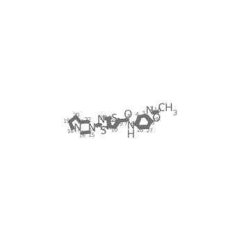 Cc1nc2cc(NC(=O)c3cc4sc(N5CCN6CCCC6C5)nc4s3)ccc2o1